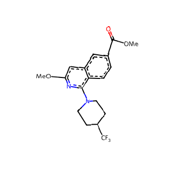 COC(=O)c1ccc2c(N3CCC(C(F)(F)F)CC3)nc(OC)cc2c1